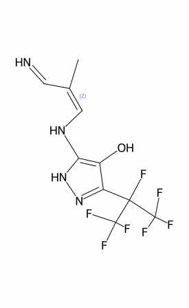 C/C(C=N)=C/Nc1[nH]nc(C(F)(C(F)(F)F)C(F)(F)F)c1O